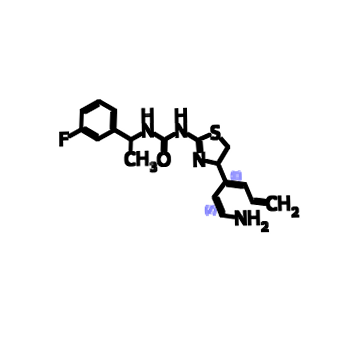 C=C/C=C(\C=C/N)C1CSC(NC(=O)NC(C)c2cccc(F)c2)=N1